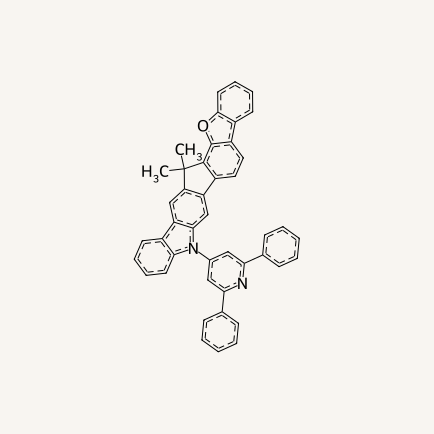 CC1(C)c2cc3c4ccccc4n(-c4cc(-c5ccccc5)nc(-c5ccccc5)c4)c3cc2-c2ccc3c(oc4ccccc43)c21